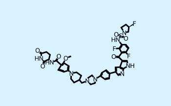 COc1cc(N2CCC(CN3CCN(c4ccc(-c5cnc6[nH]cc(C(=O)c7c(F)ccc(NS(=O)(=O)N8CC[C@@H](F)C8)c7F)c6c5)cc4)CC3)CC2)ccc1C(=O)N[C@H]1CCC(=O)NC1=O